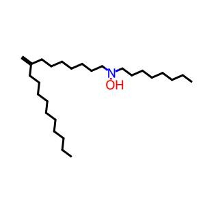 C=C(CCCCCCCCCC)CCCCCCCN(O)CCCCCCCC